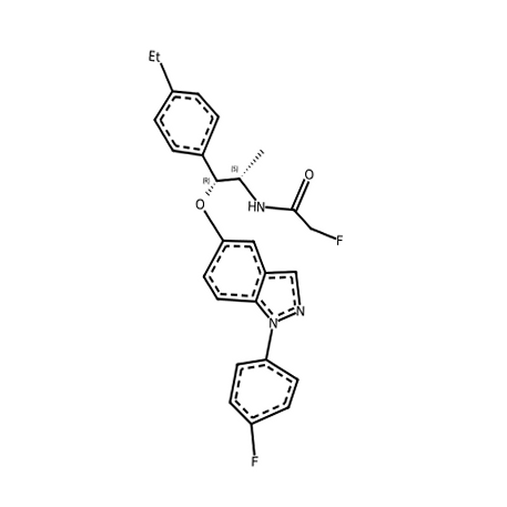 CCc1ccc([C@@H](Oc2ccc3c(cnn3-c3ccc(F)cc3)c2)[C@H](C)NC(=O)CF)cc1